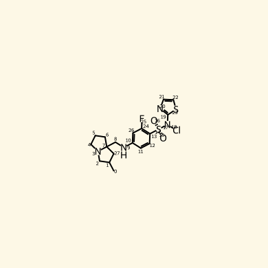 CC1CN2CCCC2(CNc2ccc(S(=O)(=O)N(Cl)c3nccs3)c(F)c2)C1